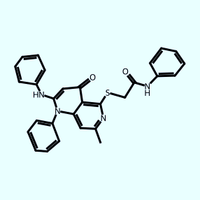 Cc1cc2c(c(SCC(=O)Nc3ccccc3)n1)c(=O)cc(Nc1ccccc1)n2-c1ccccc1